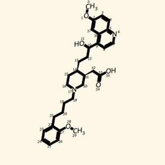 COc1ccc2nccc(C(O)CC[C@@H]3CCN(CCCCc4ccccc4OC)C[C@@H]3CC(=O)O)c2c1